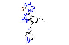 CCCc1cc(/C=C/c2ccncc2)c2[nH]nc(NC(N)=S)c2c1